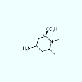 CC1CC(N)C[C@@H](C(=O)O)N1C